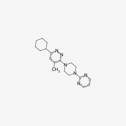 Cc1cc(C2CCCCC2)nnc1N1CCN(c2ncccn2)CC1